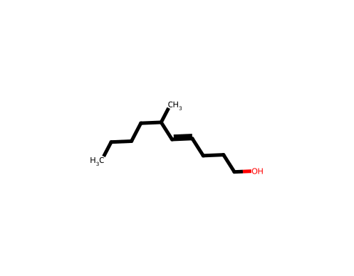 CCCCC(C)C=CCCCO